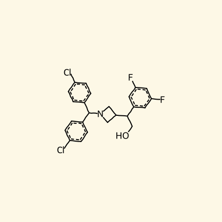 OCC(c1cc(F)cc(F)c1)C1CN(C(c2ccc(Cl)cc2)c2ccc(Cl)cc2)C1